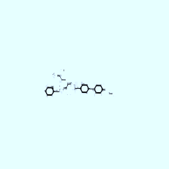 CCOc1ccc(-c2ccc(C(=O)N[C@@H](CCC(=O)O)C(=O)NCc3ccccc3)cc2)cc1